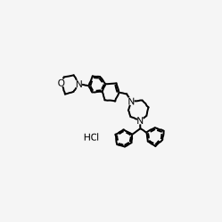 C1=C(CN2CCCN(C(c3ccccc3)c3ccccc3)CC2)CCc2cc(N3CCOCC3)ccc21.Cl